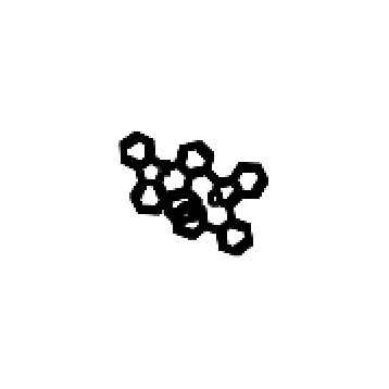 c1ccc(-c2ccccc2-c2oc(-c3cccc(-n4c5ccccc5c5ccccc54)c3-c3ccccc3)c3ccccc23)cc1